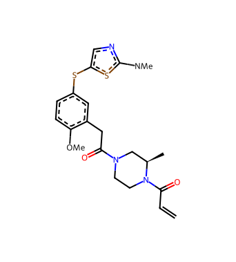 C=CC(=O)N1CCN(C(=O)Cc2cc(Sc3cnc(NC)s3)ccc2OC)C[C@H]1C